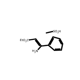 CCOC(=O)C=C(N)c1ccccc1.CS(=O)(=O)O